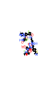 Cc1ncsc1-c1ccc(C(CC(=O)NCCCCNC(=O)c2ccc(F)c(-c3ccc(N4C[C@@H](C)N(C)[C@@H](C)C4)c(NC(=O)c4c[nH]c(=O)cc4C(F)(F)F)c3)c2)NC(=O)[C@@H]2C[C@@H](O)CN2C(=O)C(NC(=O)C2(F)CC2)C(C)(C)C)cc1